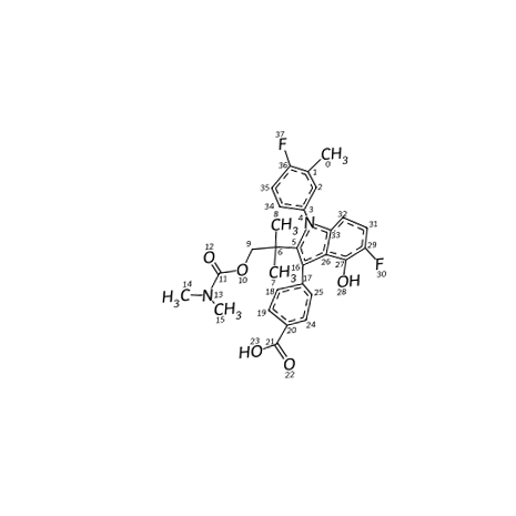 Cc1cc(-n2c(C(C)(C)COC(=O)N(C)C)c(-c3ccc(C(=O)O)cc3)c3c(O)c(F)ccc32)ccc1F